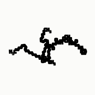 CCCCC/C=C\C/C=C\CCCCCCCCC1(CCCCCCCC/C=C\C/C=C\CCCCC)OCC(N(C)CCCCCCNC(=O)CCC(=O)NCCOC(C)(C)OCCNC(=O)CCSSc2ccccn2)O1